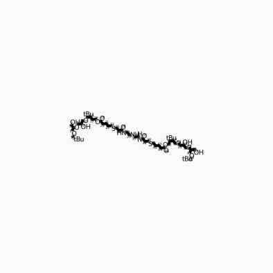 CC(C)(C)COCC(CO)OCC(O)COCC(CCOC(=O)CCCCSCCC(=O)NCCNCCNC(=O)CCSCCCCC(=O)OCCC(COCC(O)COC(CO)COC(C)(C)C)C(C)(C)C)C(C)(C)C